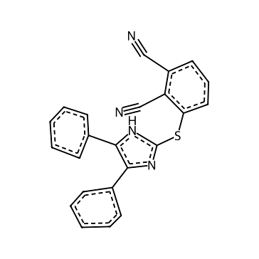 N#Cc1cccc(Sc2nc(-c3ccccc3)c(-c3ccccc3)[nH]2)c1C#N